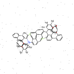 [2H]c1c([2H])c([2H])c(C(c2c(F)ccc(-c3ccccc3C)c2-c2ccccc2)c2ccc3ccc4c(N(c5c([2H])c([2H])c([2H])c([2H])c5[2H])c5c(F)ccc(-c6ccccc6C)c5-c5ccccc5C)ccc5ccc2c3c54)c([2H])c1[2H]